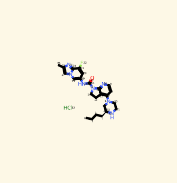 CCCC[C@H]1CN(c2ccnc3c2CCN3C(=O)Nc2cc(F)c3nc(C)cn3c2)CCN1.Cl